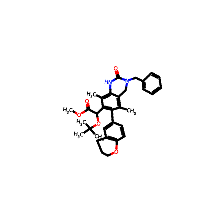 COC(=O)C(OC(C)(C)C)c1c(C)c2c(c(C)c1-c1ccc3c(c1)CCCO3)CN(Cc1ccccc1)C(=O)N2